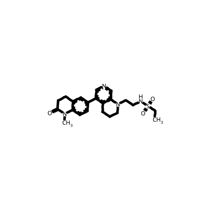 CCS(=O)(=O)NCCN1CCCc2c(-c3ccc4c(c3)CCC(=O)N4C)cncc21